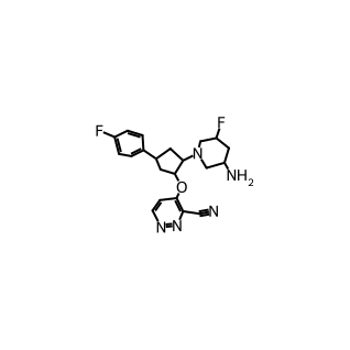 N#Cc1nnccc1OC1CC(c2ccc(F)cc2)CC1N1CC(N)CC(F)C1